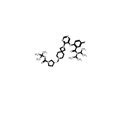 CC(C)N(C(=O)c1cc(F)ccc1Oc1cncnc1N1CC2(CCN(C[C@@H]3CCN(C(=O)OC(C)(C)C)C3)CC2)C1)C(C)C